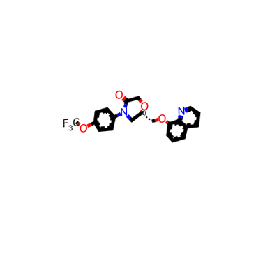 O=C1CO[C@H](COc2cccc3cccnc23)CN1c1ccc(OC(F)(F)F)cc1